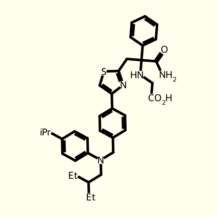 CCC(CC)CN(Cc1ccc(-c2csc(CC(NCC(=O)O)(C(N)=O)c3ccccc3)n2)cc1)c1ccc(C(C)C)cc1